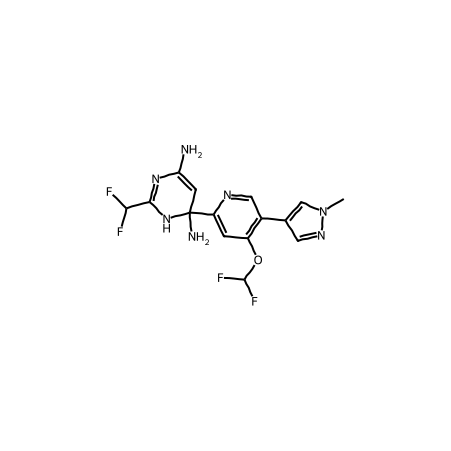 Cn1cc(-c2cnc(C3(N)C=C(N)N=C(C(F)F)N3)cc2OC(F)F)cn1